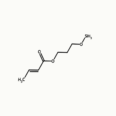 CC=CC(=O)OCCCO[SiH3]